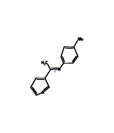 C/C(=N\c1ccc(C(C)(C)C)cc1)c1cccnc1